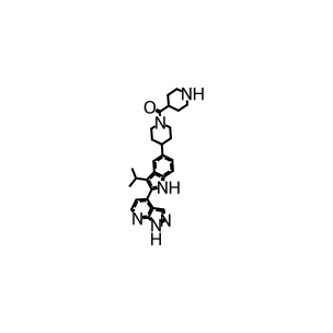 CC(C)c1c(-c2ccnc3[nH]ncc23)[nH]c2ccc(C3CCN(C(=O)C4CCNCC4)CC3)cc12